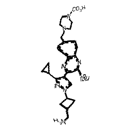 CC(C)(C)c1nc2ccc(CN3CCN(C(=O)O)CC3)cc2nc1-c1cn(C2CC(CN)C2)nc1C1CC1